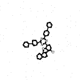 Clc1ccc(-c2nc(-c3ccc(-c4ccccc4)cc3)nc(-c3ccc(-c4ccccc4)cc3)n2)c2oc3c4ccccc4ccc3c12